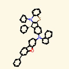 c1ccc(-c2ccc3c(c2)oc2cc(N(c4ccc5c(c4)[C@H](c4ccccc4)C4=C5Sc5ccccc5N4c4ccccc4)c4cccc5ccccc45)ccc23)cc1